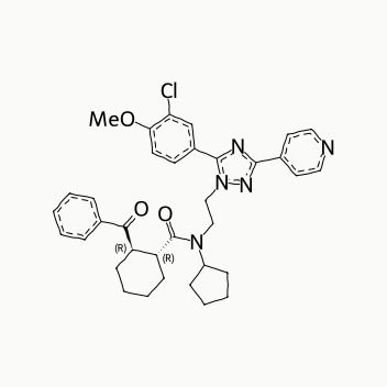 COc1ccc(-c2nc(-c3ccncc3)nn2CCN(C(=O)[C@@H]2CCCC[C@H]2C(=O)c2ccccc2)C2CCCC2)cc1Cl